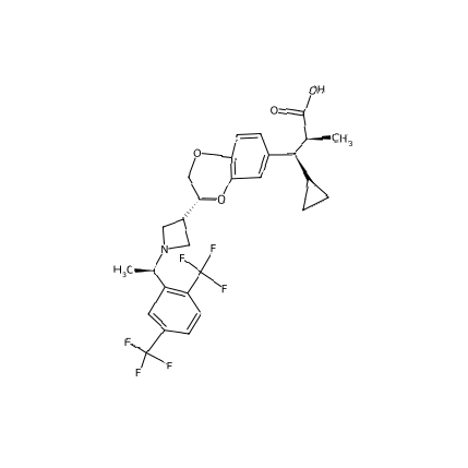 C[C@H](C(=O)O)[C@H](c1ccc2c(c1)O[C@H](C1CN([C@H](C)c3cc(C(F)(F)F)ccc3C(F)(F)F)C1)CO2)C1CC1